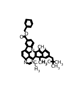 Cc1c2cc(CC(C)(C)C)ccc2c(C)c2c1c1c3c(ccc4c5cc(C(=O)OCc6ccccc6)ccc5n2c43)nc[n+]1C